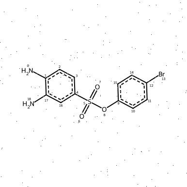 Nc1ccc(S(=O)(=O)Oc2ccc(Br)cc2)cc1N